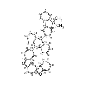 CC1(C)c2ccccc2-c2cc(-c3c4ccccc4c(-c4ccc5oc6ccc7oc8ccccc8c7c6c5c4)c4ccccc34)ccc21